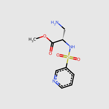 COC(=O)[C@H](CN)NS(=O)(=O)c1cccnc1